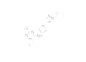 Clc1nc2c(c(Nc3ccc(-c4cnn(C5CCCCO5)c4)cc3)n1)CSC2